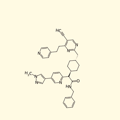 C#Cc1cnc(C[C@H]2CC[C@H](C(C(=O)NCc3ccccc3)c3ccc(-c4cnn(C)c4)cn3)CC2)nc1CCc1ccncc1